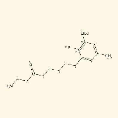 Cc1cc(CCCCCC(=O)CCN)c(F)c(OCC(C)C)c1